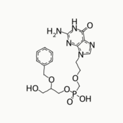 Nc1nc2c(ncn2CCOCP(=O)(O)OCC(CO)OCc2ccccc2)c(=O)[nH]1